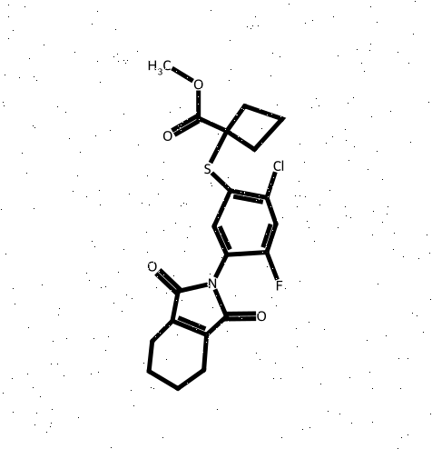 COC(=O)C1(Sc2cc(N3C(=O)C4=C(CCCC4)C3=O)c(F)cc2Cl)CCC1